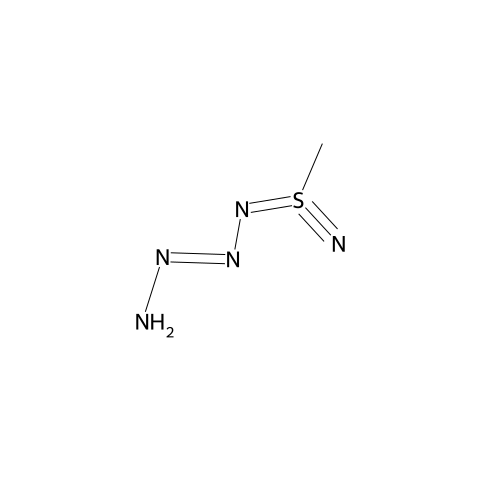 CS(#N)=NN=NN